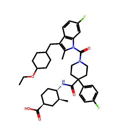 CCOC1CCC(Cc2c(C)n(C(=O)N3CCC(C(=O)N[C@H]4CC[C@H](C(=O)O)C[C@@H]4C)(c4ccc(F)cc4)CC3)c3cc(F)ccc23)CC1